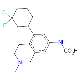 CN1CCc2c(cc(NC(=O)O)cc2C2CCCC(F)(F)C2)C1